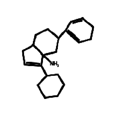 NC12CC(C3=CCCC=C3)CCC1CC=C2C1CCCCC1